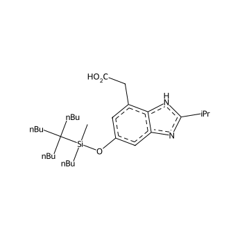 CCCCC(CCCC)(CCCC)[Si](C)(CCCC)Oc1cc(CC(=O)O)c2[nH]c(C(C)C)nc2c1